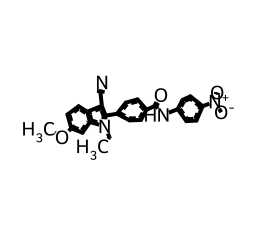 CCn1c(-c2ccc(C(=O)Nc3ccc([N+](=O)[O-])cc3)cc2)c(C#N)c2ccc(OC)cc21